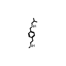 CNCCc1ccc(CNCC(C)C)cc1